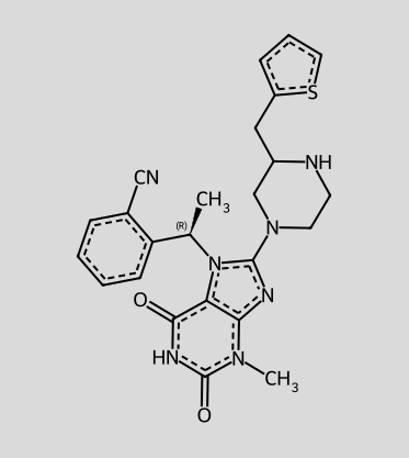 C[C@H](c1ccccc1C#N)n1c(N2CCNC(Cc3cccs3)C2)nc2c1c(=O)[nH]c(=O)n2C